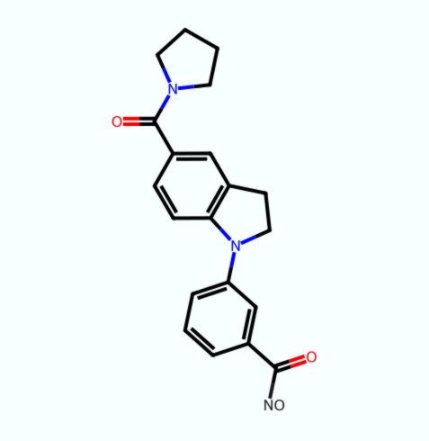 O=NC(=O)c1cccc(N2CCc3cc(C(=O)N4CCCC4)ccc32)c1